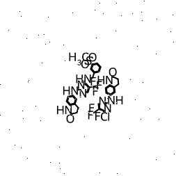 CS(=O)(=O)c1cccc(CNc2nc(Nc3ccc4c(c3)CCC(=O)N4)ncc2C(F)(F)F)c1.O=C1CCc2cc(Nc3ncc(C(F)(F)F)c(Cl)n3)ccc2N1